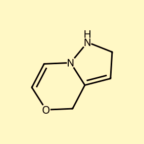 C1=CN2NCC=C2CO1